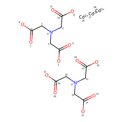 O=C([O-])CN(CC(=O)[O-])CC(=O)[O-].O=C([O-])CN(CC(=O)[O-])CC(=O)[O-].[Cd+2].[Cd+2].[Cd+2]